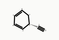 [C]#C[C@@H]1C=C[C]=CC1